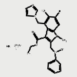 Br.CCOC(=O)c1c(C[S+]([O-])c2ccccc2)n(C)c2cc(Br)c(O)c(Cn3ccnc3)c12.O.O